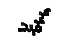 CC(C)CNC(=O)CONC(=O)c1cccc(C(=O)NOC(C=O)CC(C)C)c1